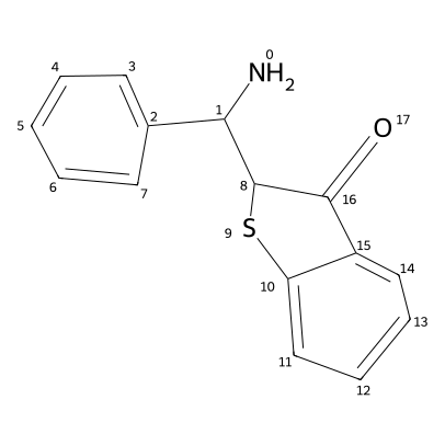 NC(c1ccccc1)C1Sc2ccccc2C1=O